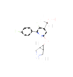 CC(C)(O)c1cc(OC2C3CN(C(=O)O)C[C@H]32)nc(-c2ccc(F)cc2)c1F